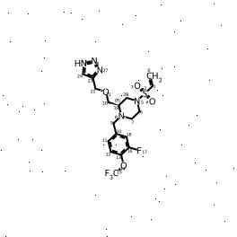 C=CS(=O)(=O)N1CCN(Cc2ccc(OC(F)(F)F)c(F)c2)[C@@H](COCc2c[nH]nn2)C1